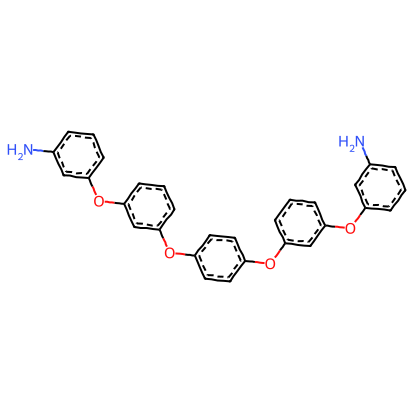 Nc1cccc(Oc2cccc(Oc3ccc(Oc4cccc(Oc5cccc(N)c5)c4)cc3)c2)c1